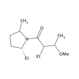 CCC(C(=O)N1C(C)CC[C@H]1CC)C(C)OC